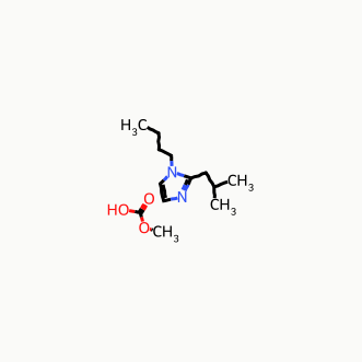 CCCCn1ccnc1CC(C)C.COC(=O)O